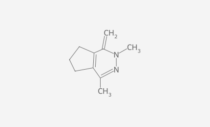 C=C1C2=C(CCC2)C(C)=NN1C